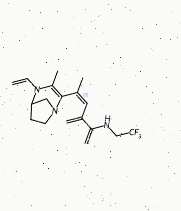 C=CN1C(C)=C(/C(C)=C\C(=C)C(=C)NCC(F)(F)F)N2CCC1C2